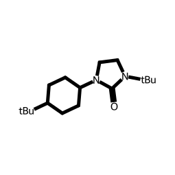 CC(C)(C)C1CCC(N2CCN(C(C)(C)C)C2=O)CC1